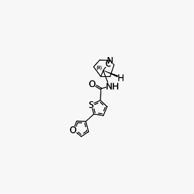 O=C(N[C@H]1CN2CCC1CC2)c1ccc(-c2ccoc2)s1